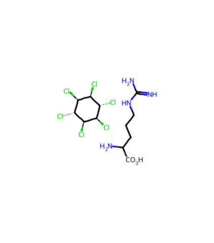 Cl[C@H]1[C@H](Cl)[C@@H](Cl)[C@@H](Cl)[C@H](Cl)[C@H]1Cl.N=C(N)NCCCC(N)C(=O)O